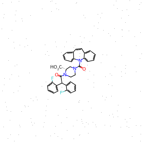 O=C(O)[C@@H]1CN(C(=O)N2c3ccccc3C=Cc3ccccc32)CCN1C(=O)C(c1ccccc1F)c1ccccc1F